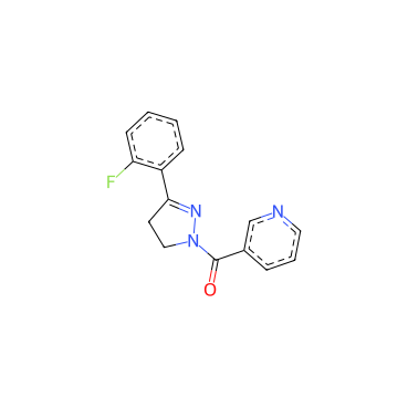 O=C(c1cccnc1)N1CCC(c2ccccc2F)=N1